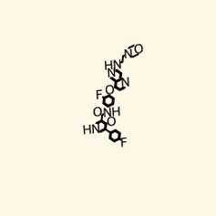 O=C(Nc1ccc(Oc2ccnc3cc(NCCN4CCOCC4)ncc23)c(F)c1)c1c[nH]cc(-c2ccc(F)cc2)c1=O